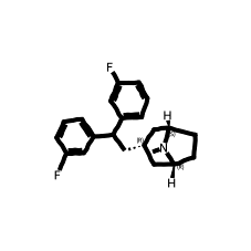 CN1[C@@H]2CC[C@H]1C[C@@H](CC(c1cccc(F)c1)c1cccc(F)c1)C2